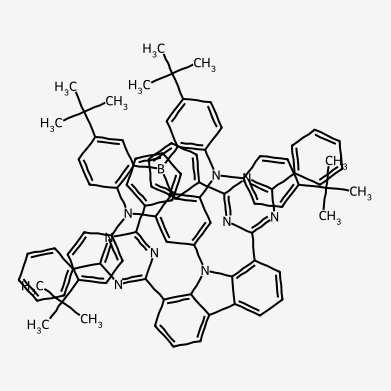 CC(C)(C)c1ccc(N2c3ccc(C(C)(C)C)cc3B3c4cc(C(C)(C)C)ccc4N(c4ccc(C(C)(C)C)cc4)c4cc(-n5c6c(-c7nc(-c8ccccc8)nc(-c8ccccc8)n7)cccc6c6cccc(-c7nc(-c8ccccc8)nc(-c8ccccc8)n7)c65)cc2c43)cc1